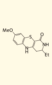 CCC1CC2=C(Sc3cc(OC)ccc3N2)C(=O)N1